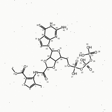 COC(=O)c1scc(C)c1NC(=O)C1OC2C(COP(=O)(O)OP(=O)(O)OP(=O)(O)O)OC(n3cnc4c(=S)[nH]c(N)nc43)C2O1